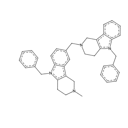 CN1CCc2c(c3cc(CN4CCc5c(c6ccccc6n5Cc5ccccc5)C4)ccc3n2Cc2ccccc2)C1